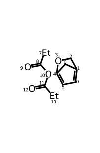 C1=C2COC(=C1)C2.CCC(=O)OC(=O)CC